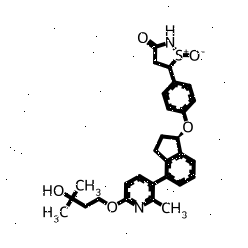 Cc1nc(OCCC(C)(C)O)ccc1-c1cccc2c1CC[C@H]2Oc1ccc(C2CC(=O)N[S+]2[O-])cc1